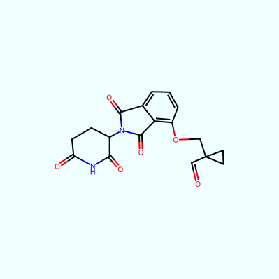 O=CC1(COc2cccc3c2C(=O)N(C2CCC(=O)NC2=O)C3=O)CC1